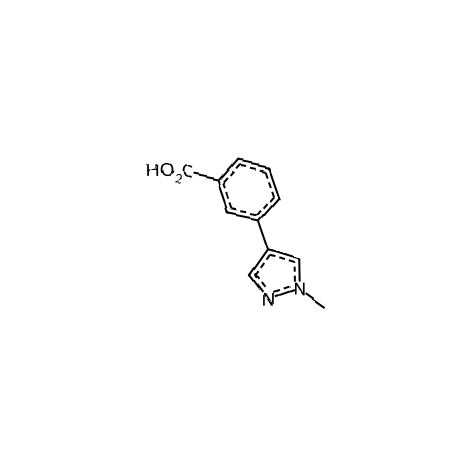 Cn1cc(-c2cccc(C(=O)O)c2)cn1